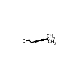 C=C(C)C#CC#CCCCl